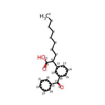 CCCCCCCCC(C(=O)O)c1cccc(C(=O)c2ccccc2)c1